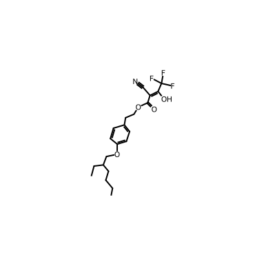 CCCCC(CC)COc1ccc(CCOC(=O)/C(C#N)=C(\O)C(F)(F)F)cc1